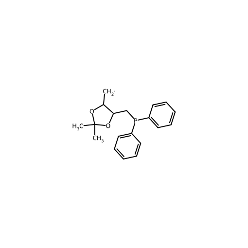 [CH2]C1OC(C)(C)OC1CP(c1ccccc1)c1ccccc1